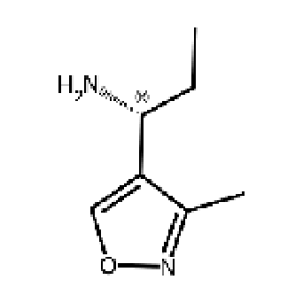 CC[C@@H](N)c1conc1C